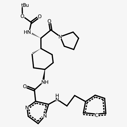 CC(C)(C)OC(=O)N[C@H](C(=O)N1CCCC1)[C@H]1CC[C@H](NC(=O)c2nccnc2NCCc2ccccc2)CC1